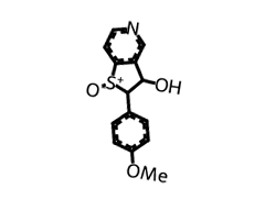 COc1ccc(C2C(O)c3cnccc3[S+]2[O-])cc1